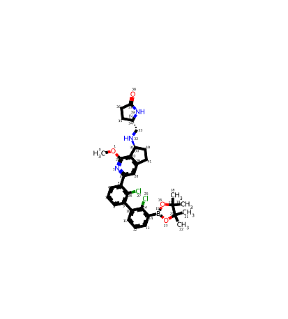 COc1nc(-c2cccc(-c3cccc(B4OC(C)(C)C(C)(C)O4)c3Cl)c2Cl)cc2c1[C@@H](NC[C@@H]1CCC(=O)N1)CC2